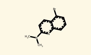 CN(C)c1ccc2c(Br)cccc2n1